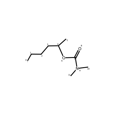 [CH2]CCCC(C)OC(=O)N(C)C